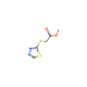 COC(=O)CSc1nn[c]s1